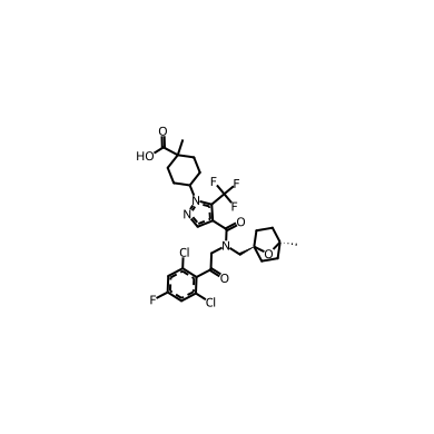 CC1(C(=O)O)CCC(n2ncc(C(=O)N(CC(=O)c3c(Cl)cc(F)cc3Cl)C[C@]34CC[C@@](C)(CC3)O4)c2C(F)(F)F)CC1